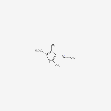 CCOC(=O)c1[nH]c(C)c(/C=C/C=O)c1C